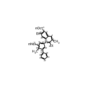 CCCCCCCCc1cc(C=C(C)C(CC)=Nc2cc(CCCCCC)c(C)c(-c3ccccc3)c2)ccc1CC